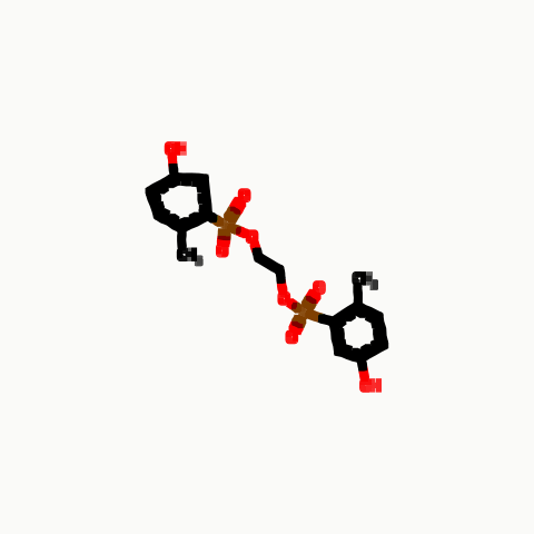 Cc1ccc(O)cc1S(=O)(=O)OCCOS(=O)(=O)c1cc(O)ccc1C